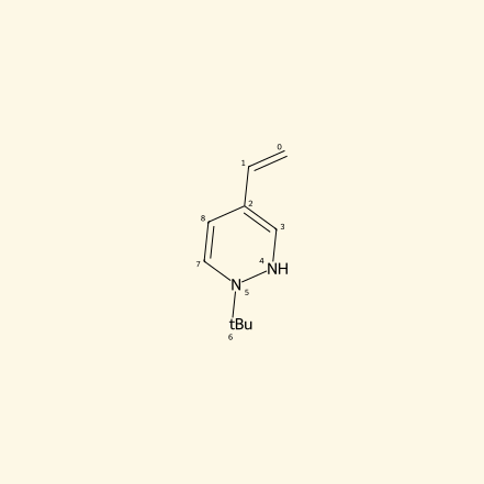 C=CC1=CNN(C(C)(C)C)C=C1